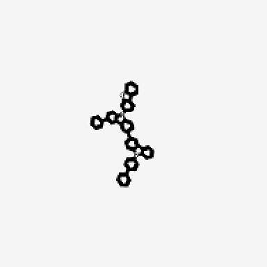 c1ccc(-c2ccc(-n3c4ccccc4c4cc(-c5ccc6c(c5)c5cc(-c7ccccc7)ccc5n6-c5ccc6c(c5)oc5ccccc56)ccc43)cc2)cc1